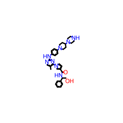 Cc1cnc(Nc2ccc(N3CCC(N4CCNCC4)CC3)cc2)nc1-n1ccc(C(=O)NC(CO)c2ccccc2)c1